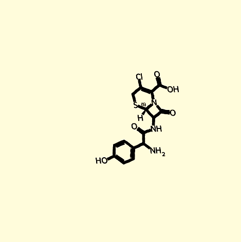 NC(C(=O)NC1C(=O)N2C(C(=O)O)=C(Cl)CS[C@@H]12)c1ccc(O)cc1